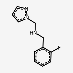 Fc1ccccc1CNCn1cccn1